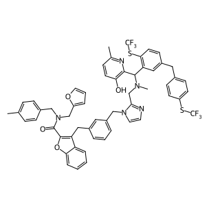 Cc1ccc(CN(Cc2ccco2)C(=O)c2oc3ccccc3c2Cc2cccc(Cn3ccnc3CN(C)C(c3cc(Cc4ccc(SC(F)(F)F)cc4)ccc3SC(F)(F)F)c3nc(C)ccc3O)c2)cc1